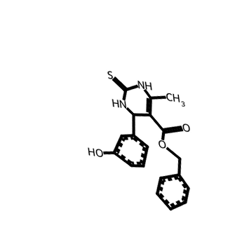 CC1=C(C(=O)OCc2ccccc2)C(c2cccc(O)c2)NC(=S)N1